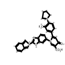 O=C(O)c1cn(-c2ccc3nc(-n4cc5ccccc5c4)oc3c2)c(-c2ccc(N3CCCC3)c(C(F)(F)F)c2)cc1=O